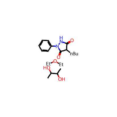 CC(O)C(C)O.CCCCC1C(=O)NN(c2ccccc2)C1=O.CCOCC